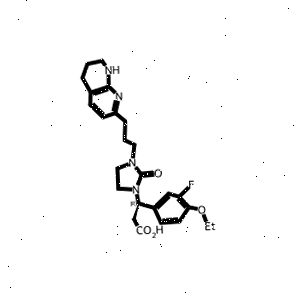 CCOc1ccc([C@@H](CC(=O)O)N2CCN(CCCc3ccc4c(n3)NCCC4)C2=O)cc1F